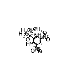 [CH2]C(O)(c1cc([N+](=O)[O-])cc([N+](=O)[O-])c1)[Si](C)(C)C